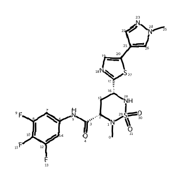 CN1[C@H](C(=O)Nc2cc(F)c(F)c(F)c2)C[C@H](c2ncc(-c3cnn(C)c3)s2)NS1(=O)=O